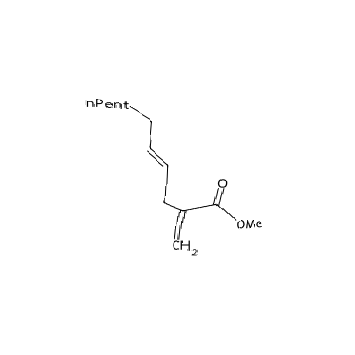 C=C(CC=CCCCCCC)C(=O)OC